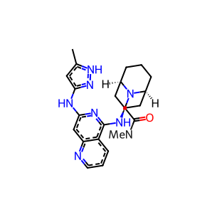 CNC(=O)CN1[C@@H]2CCC[C@H]1C[C@@H](Nc1nc(Nc3cc(C)[nH]n3)cc3ncccc13)C2